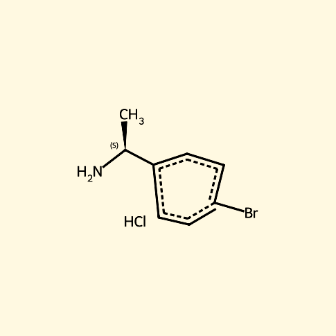 C[C@H](N)c1ccc(Br)cc1.Cl